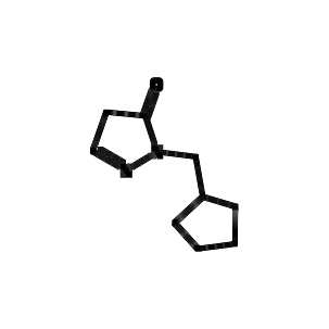 O=C1CC=NN1CC1CCCC1